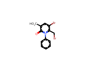 O=C(O)c1cc(Br)c(CBr)n(-c2ccccc2)c1=O